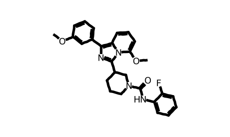 COc1cccc(-c2nc(C3CCCN(C(=O)Nc4ccccc4F)C3)n3c(OC)cccc23)c1